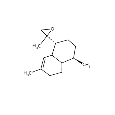 CC1=CC2C(CC1)[C@H](C)CC[C@H]2C1(C)CO1